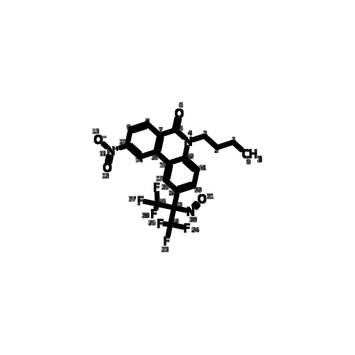 CCCCn1c(=O)c2ccc([N+](=O)[O-])cc2c2cc(C(N=O)(C(F)(F)F)C(F)(F)F)ccc21